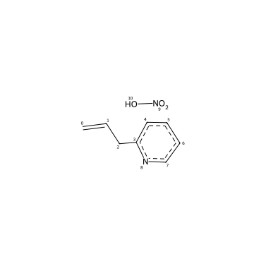 C=CCc1ccccn1.O=[N+]([O-])O